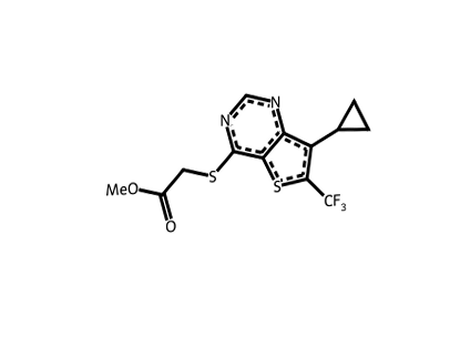 COC(=O)CSc1ncnc2c(C3CC3)c(C(F)(F)F)sc12